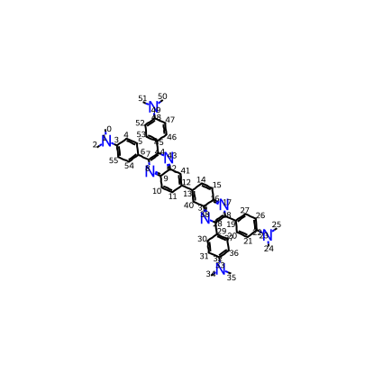 CN(C)c1ccc(-c2nc3ccc(-c4ccc5nc(-c6ccc(N(C)C)cc6)c(-c6ccc(N(C)C)cc6)nc5c4)cc3nc2-c2ccc(N(C)C)cc2)cc1